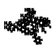 CC(C)C[C@H](N)/C=C/[C@H](Cc1ccccc1)C(=O)N1CCC[C@H]1C(=O)N[C@H](C(=O)N[C@@H](CCCNC(=O)OCc1ccccc1)C(=O)NC1CC(C)(C)N(O)C(C)(C)C1)C(C)C.O=C(O)C(F)(F)F